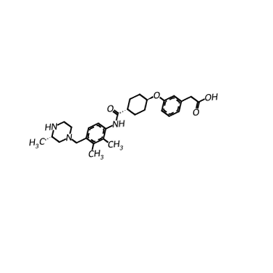 Cc1c(CN2CCN[C@@H](C)C2)ccc(NC(=O)[C@H]2CC[C@H](Oc3cccc(CC(=O)O)c3)CC2)c1C